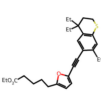 CCOC(=O)CCCCc1ccc(C#Cc2cc3c(cc2CC)SCCC3(CC)CC)o1